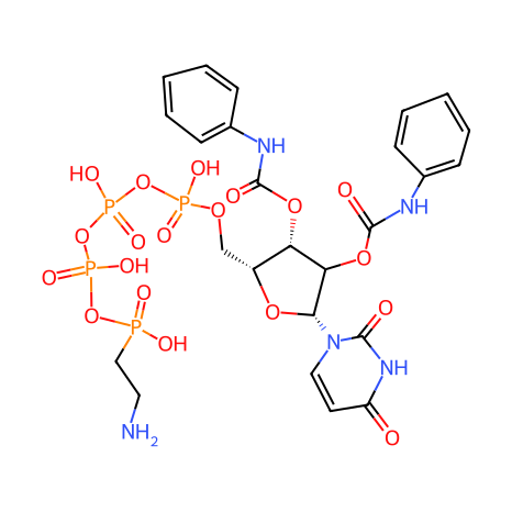 NCCP(=O)(O)OP(=O)(O)OP(=O)(O)OP(=O)(O)OC[C@H]1O[C@@H](n2ccc(=O)[nH]c2=O)C(OC(=O)Nc2ccccc2)[C@H]1OC(=O)Nc1ccccc1